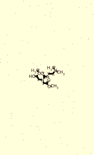 COC(=O)CN(CC(O)OC)C(=O)SCCN(C)C